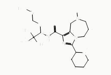 CNCO[C@@H](NC(=O)c1nc(C2CCCCO2)n2c1CN(C)CCC2)C(C)(C)C